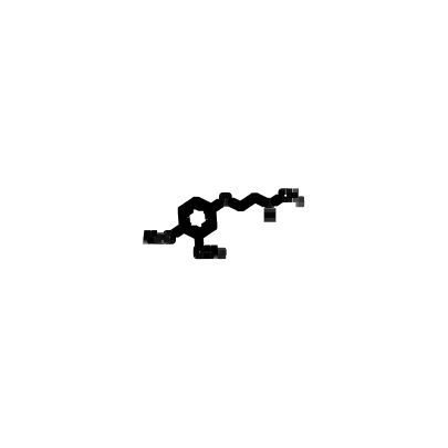 COc1ccc(OCCPC)cc1OC